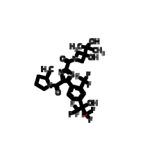 CC1CCCN1C(=O)c1nc(C(=O)N2CC(O)(C(C)(C)O)C2)sc1-c1ccc(C(O)(C(F)(F)F)C(F)(F)F)cc1C(F)(F)F